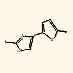 Cc1ccc(-c2c[nH]c(I)n2)s1